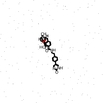 CN1CCC23CC(=O)CC[C@@]2(O)[C@H]1Cc1ccc(C(=O)NCCc2ccc(-c4cnc(=O)[nH]c4)cc2)c(O)c13